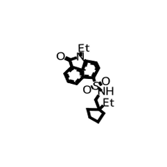 CCN1C(=O)c2cccc3c(S(=O)(=O)NCC4(CC)CCCC4)ccc1c23